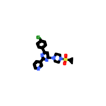 O=S(=O)(C1CC1)N1CCN(c2cc(-c3ccc(Cl)cc3)nc(-c3cccnc3)n2)CC1